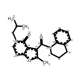 Cc1oc2ncn(CC(C)C)c(=O)c2c1C(=O)N1CCCc2ccccc21